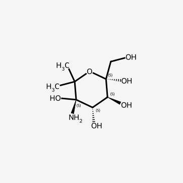 CC1(C)O[C@@](O)(CO)[C@@H](O)[C@H](O)[C@]1(N)O